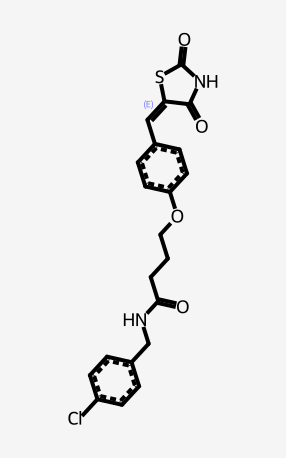 O=C(CCCOc1ccc(/C=C2/SC(=O)NC2=O)cc1)NCc1ccc(Cl)cc1